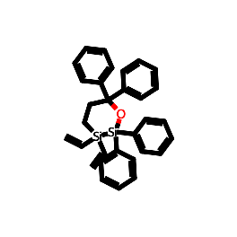 C=C[Si]1(C=C)CCC(c2ccccc2)(c2ccccc2)O[Si]1(c1ccccc1)c1ccccc1